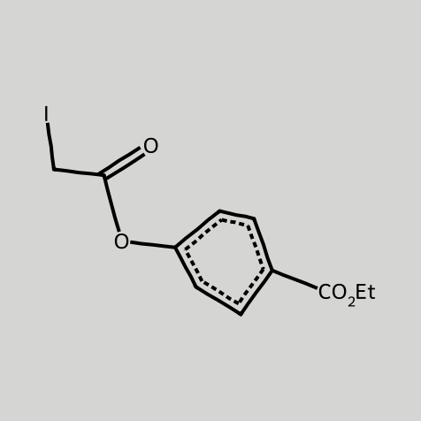 CCOC(=O)c1ccc(OC(=O)CI)cc1